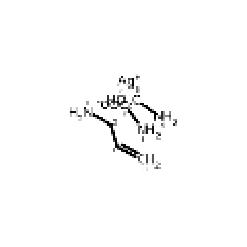 C=CCN.NC(=O)O.NC(=O)[O-].[Ag+]